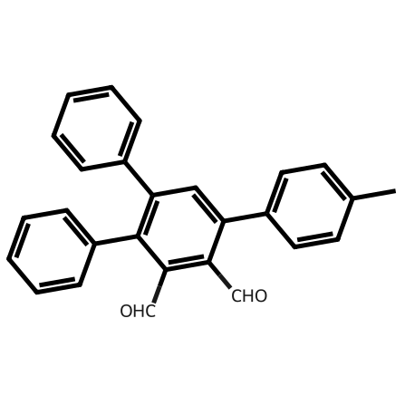 Cc1ccc(-c2cc(-c3ccccc3)c(-c3ccccc3)c(C=O)c2C=O)cc1